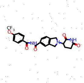 O=C1CCC(N2Cc3ccc(C(=O)NC(=O)c4ccc(OC(F)(F)F)cc4)cc3C2)C(=O)N1